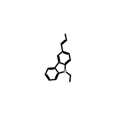 CC=Cc1ccc2c(c1)c1ccccc1n2CC